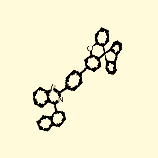 c1ccc2c(c1)Oc1cc(-c3ccc(-c4nc(-c5cccc6ccccc56)c5ccccc5n4)cc3)ccc1C21c2ccccc2-c2ccccc21